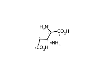 N.N[C@H](CCC(=O)O)C(=O)O